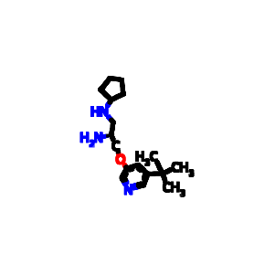 CC(C)(C)c1cncc(OC[C@@H](N)CNC2CCCC2)c1